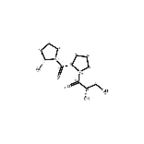 CC(=O)[C@@H]1CCCN1C(=O)[C@@H]1CCCN1C(=O)[C@@H](C)CS